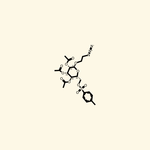 CC(=O)O[C@@H]1[C@H](OC(C)=O)[C@@H](OCCN=[N+]=[N-])O[C@H](COS(=O)(=O)c2ccc(C)cc2)[C@H]1OC(C)=O